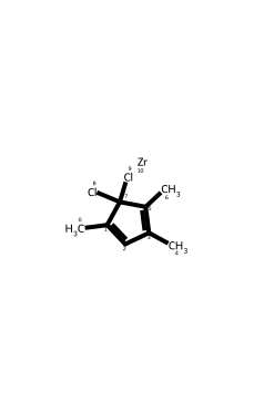 CC1=CC(C)=C(C)C1(Cl)Cl.[Zr]